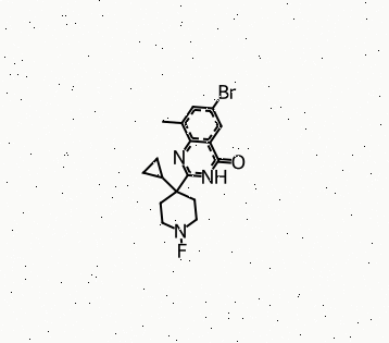 Cc1cc(Br)cc2c(=O)[nH]c(C3(C4CC4)CCN(F)CC3)nc12